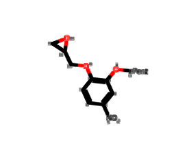 CCCCCOc1cc([N+](=O)[O-])ccc1OCC1CO1